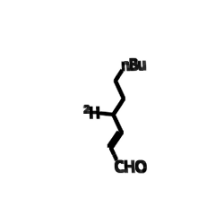 [2H]C(C=CC=O)CCCCCC